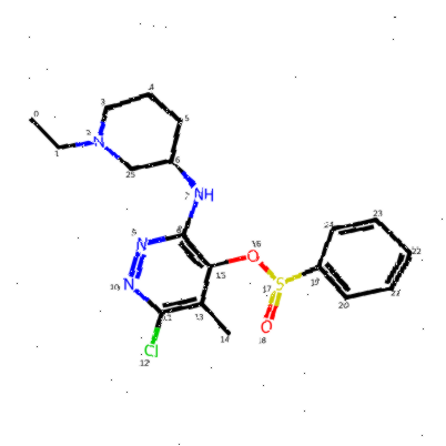 CCN1CCC[C@@H](Nc2nnc(Cl)c(C)c2OS(=O)c2ccccc2)C1